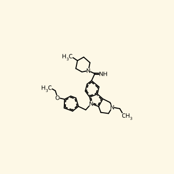 CCOc1ccc(Cn2c3c(c4cc(C(=N)N5CCC(C)CC5)ccc42)CN(CC)CC3)cc1